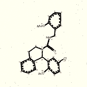 COc1ccccc1CNC(=O)N1CCc2ccccc2C1c1cc(Cl)ccc1OC(C)=O